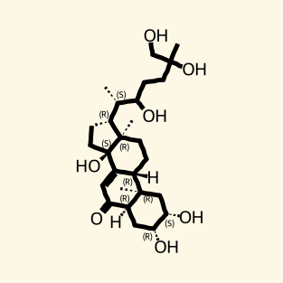 C[C@H](C(O)CCC(C)(O)CO)[C@H]1CC[C@@]2(O)C3=CC(=O)[C@@H]4C[C@@H](O)[C@@H](O)C[C@]4(C)[C@H]3CC[C@]12C